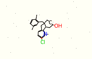 Cc1ccc(C)c(CC2(Cc3ccc(Cl)cc3)CCC(O)CC2CN(C)C)c1